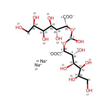 O=C([O-])[C@H](OB(O)O[C@@H](C(=O)[O-])[C@H](O)[C@H](O)[C@@H](O)[C@H](O)CO)[C@H](O)[C@H](O)[C@@H](O)[C@H](O)CO.[Na+].[Na+]